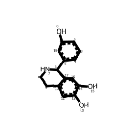 Oc1cccc(C2NCCc3cc(O)c(O)cc32)c1